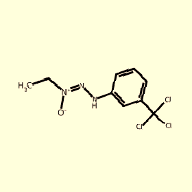 CC/[N+]([O-])=N/Nc1cccc(C(Cl)(Cl)Cl)c1